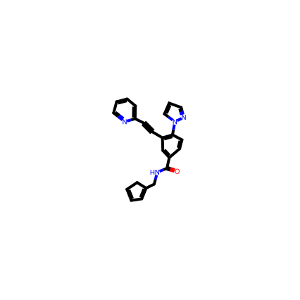 O=C(NCC1=CC=CC1)c1ccc(-n2cccn2)c(C#Cc2ccccn2)c1